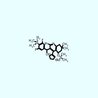 CC(C)c1nc2c(c(C3=CCCC3)c1C(O)c1cc(F)c([Si](C)(C)C)c(F)c1)[C@H](O[Si](C)(C)C(C)(C)C)CC(C)(C)C2